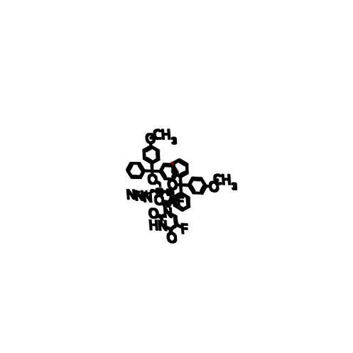 COc1ccc(C(OC[C@@]2(CN=[N+]=[N-])O[C@@H](n3cc(F)c(=O)[nH]c3=O)[C@@H](F)[C@@H]2OC(c2ccccc2)(c2ccccc2)c2ccc(OC)cc2)(c2ccccc2)c2ccccc2)cc1